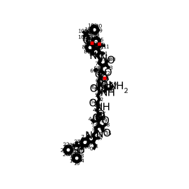 CCc1c2c(nc3ccc(O[Si](c4ccccc4)(c4ccccc4)C(C)(C)C)cc13)-c1cc3c(c(=O)n1C2)COC(=O)[C@@]3(CC)OC(=O)CNC(=O)CCC(NC(=O)CN)C(=O)NCC(=O)O[C@]1(CC)C(=O)OCc2c1cc1n(c2=O)Cc2c-1nc1ccc(O[Si](c3ccccc3)(c3ccccc3)C(C)(C)C)cc1c2CC